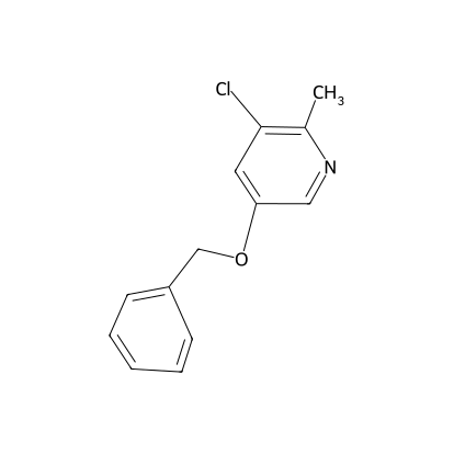 Cc1ncc(OCc2ccccc2)cc1Cl